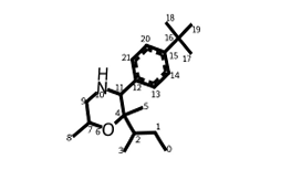 CCC(C)C1(C)OC(C)CNC1c1ccc(C(C)(C)C)cc1